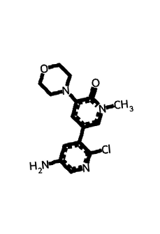 Cn1cc(-c2cc(N)cnc2Cl)cc(N2CCOCC2)c1=O